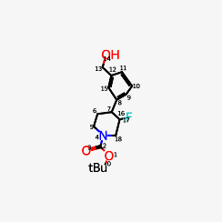 CC(C)(C)OC(=O)N1CCC(c2cccc(CO)c2)C(F)C1